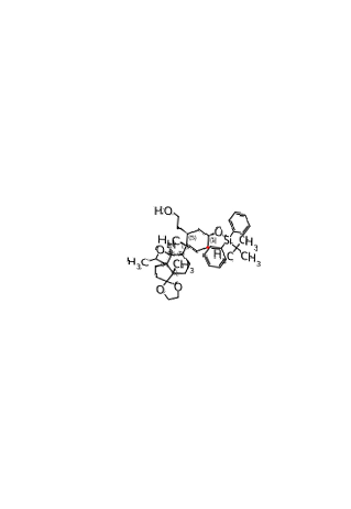 CC1O[C@@H]2[C@@H]([C@@]3(C)CC[C@H](O[Si](c4ccccc4)(c4ccccc4)C(C)(C)C)C[C@@H]3CCO)CC[C@]3(C)C4(CC[C@@]123)OCCO4